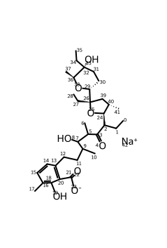 CCC(C(=O)C(C)C(O)C(C)CCc1ccc(C)c(O)c1C(=O)[O-])[C@H]1O[C@](CC)([C@H]2CC[C@](O)(CC)[C@H](C)O2)C[C@@H]1C.[Na+]